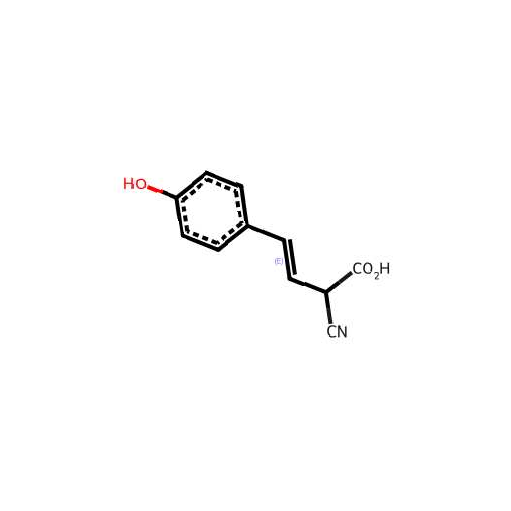 N#CC(/C=C/c1ccc(O)cc1)C(=O)O